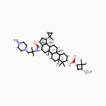 CCN1CCN(CC(C)(C)NC(=O)[C@]23CC[C@@H](C4(C)CC4)[C@@H]2[C@H]2CC[C@@H]4[C@@]5(C)CC[C@H](OC(=O)[C@H]6C[C@@H](C(=O)O)C6(C)C)C(C)(C)[C@@H]5CC[C@@]4(C)[C@]2(C)CC3)CC1